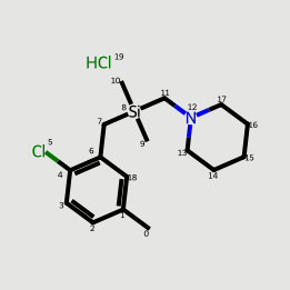 Cc1ccc(Cl)c(C[Si](C)(C)CN2CCCCC2)c1.Cl